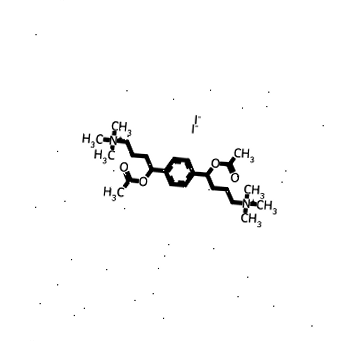 CC(=O)OC(CCC[N+](C)(C)C)c1ccc(C(CCC[N+](C)(C)C)OC(C)=O)cc1.[I-].[I-]